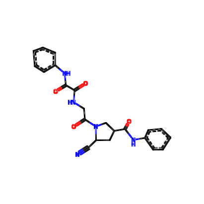 N#CC1CC(C(=O)Nc2ccccc2)CN1C(=O)CNC(=O)C(=O)Nc1ccccc1